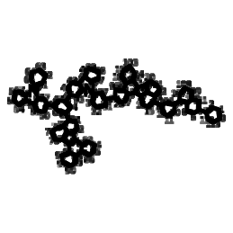 c1ccc(-c2ccc3c(-c4cccc(-c5ccc6c7c(cccc57)-c5c-6c6ccc(-c7cccc(-n8c9ccccc9c9ccc(-c%10cc(-c%11ccc%12c%13ccccc%13n(-c%13ccccc%13)c%12c%11)cc(-c%11ccc%12c%13c(cccc%11%13)-c%11c-%12c%12ccccc%12c%12ccccc%11%12)c%10)cc98)c7)cc6c6ccccc56)c4)cccc3c2)cc1